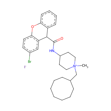 C[N+]1(CC2CCCCCCC2)CCC(NC(=O)C2c3ccccc3Oc3ccc(Br)cc32)CC1.[I-]